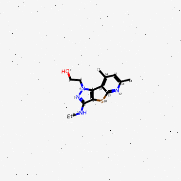 CCNc1nn(CCO)c2c1sc1nc(C)cc(C)c12